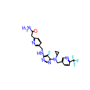 NC(=O)Cc1ccc(CNc2ncnc(N(Cc3ccc(C(F)(F)F)nc3)C3CC3)c2F)cn1